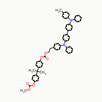 COC(=O)Oc1ccc(C(C)(C)c2ccc(OC(=O)OCCc3ccc(N(c4ccccc4)c4ccc(-c5ccc(N(c6ccccc6)c6ccc(C)cc6)cc5)cc4)cc3)cc2)cc1